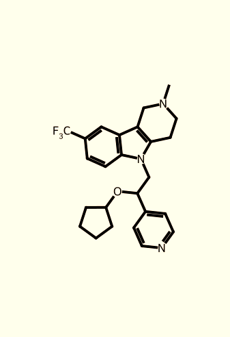 CN1CCc2c(c3cc(C(F)(F)F)ccc3n2CC(OC2CCCC2)c2ccncc2)C1